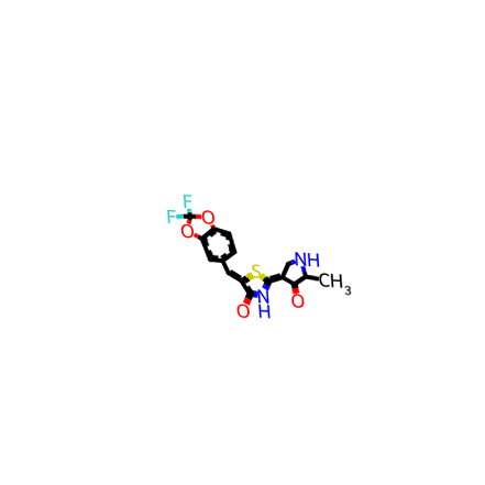 CC1NC/C(=c2/[nH]c(=O)/c(=C/c3ccc4c(c3)OC(F)(F)O4)s2)C1=O